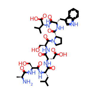 CC(C)C[C@H](NC(=O)[C@H](CO)NC(=O)[C@H](C)N)C(=O)N[C@@H](CC(=O)O)C(=O)N[C@@H](CO)C(=O)N1CCC[C@H]1C(=O)N[C@@H](Cc1c[nH]c2ccccc12)C(=O)N[C@H](C(=O)O)C(C)C